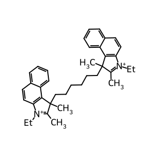 CC[N+]1=C(C)C(C)(CCCCCCC2(C)C(C)=[N+](CC)c3ccc4ccccc4c32)c2c1ccc1ccccc21